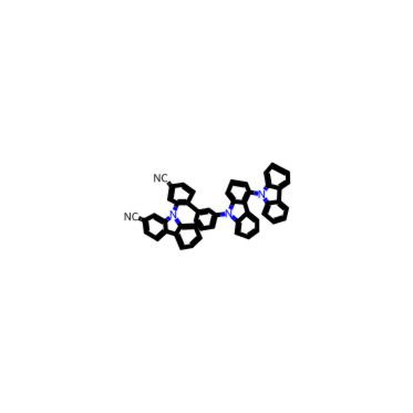 N#Cc1ccc(-c2cccc(-n3c4ccccc4c4c(-n5c6ccccc6c6ccccc65)cccc43)c2)c(-n2c3ccccc3c3ccc(C#N)cc32)c1